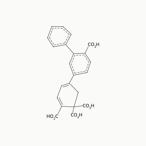 O=C(O)C1=CC=C(c2ccc(C(=O)O)c(-c3ccccc3)c2)CC1(C(=O)O)C(=O)O